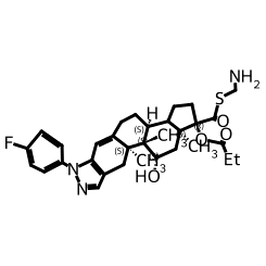 CCC(=O)O[C@]1(C(=O)SCN)CCC2[C@@H]3CCC4=Cc5c(cnn5-c5ccc(F)cc5)C[C@]4(C)[C@@]3(C)[C@@H](O)C[C@@]21C